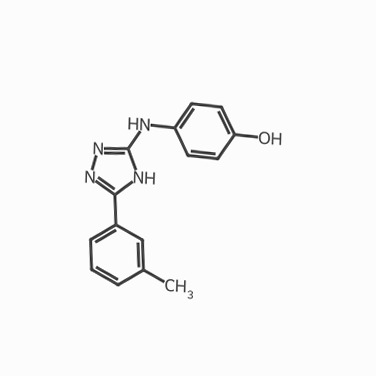 Cc1cccc(-c2nnc(Nc3ccc(O)cc3)[nH]2)c1